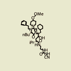 CCCC[C@@H](C(=O)N[C@@H](CC1CCCCC1)[C@@H](O)C[C@H](C(=O)NCCNC(=O)NC#N)C(C)C)N(CCc1ccccc1)C(=O)N1CCC(OCOC)CC1